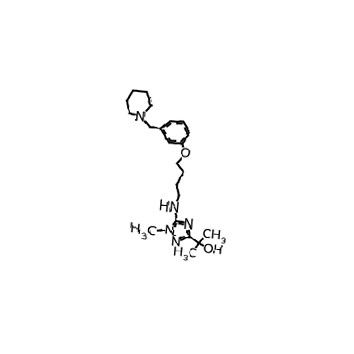 Cn1nc(C(C)(C)O)nc1NCCCCOc1cccc(CN2CCCCC2)c1